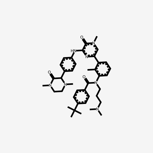 Cc1c(-c2cn(C)c(=O)c(Nc3ccc(C4C(=O)N(C)CCN4C)cc3)n2)cccc1N(CCCN(C)C)C(=O)c1ccc(C(C)(C)C)cc1